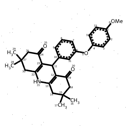 COc1ccc(Oc2cccc(C3C4=C(CC(C)(C)CC4=O)NC4=C3C(=O)CC(C)(C)C4)c2)cc1